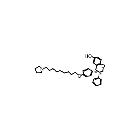 Oc1ccc2c(c1)[C@@H](c1ccc(OCCCCCCCCCN3CCCC3)cc1)[C@H](c1ccccc1)CO2